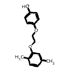 Cc1ccc(C)c(OCCOc2ccc(O)cc2)c1